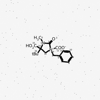 CN1C(=O)[N+](Cc2ccccc2)(C(=O)[O-])CC1(C(=O)O)C(C)(C)C